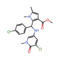 COC(=O)c1cc(C)n(C)c1C(Nc1cc(Cl)c(=O)n(C)c1)c1ccc(Cl)cc1